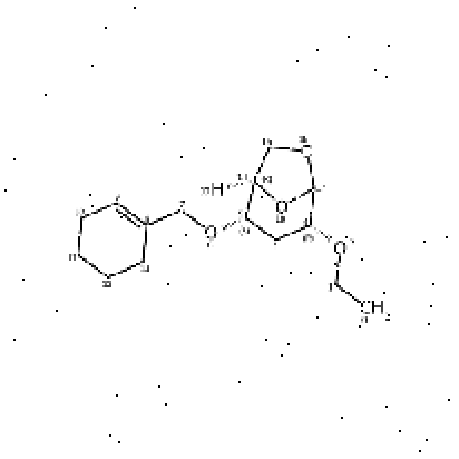 CCO[C@@H]1C[C@H](OCC2=CCCCC2)[C@H]2COC1O2